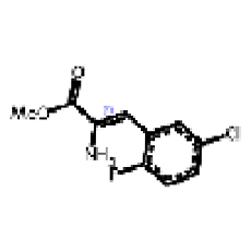 COC(=O)/C(N)=C/c1cc(Cl)ccc1F